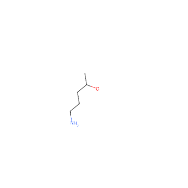 CC([O])CCCN